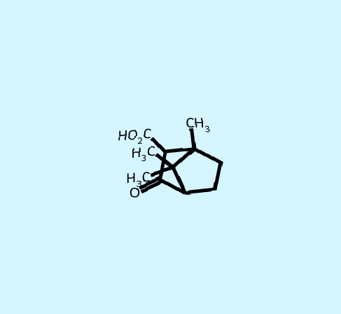 CC1(C)C2CCC1(C)C(C(=O)O)C2=O